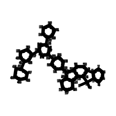 CC1(C)c2ccccc2-c2ccc3c(c21)c1ccccc1n3-c1ccc(-c2nc(-c3ccccc3)nc(-c3cccc(-c4ccccc4)c3)n2)cc1